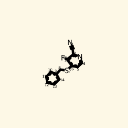 N#Cc1nccc(SCc2ccccc2)c1F